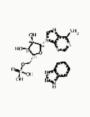 Nc1ncnc2c1ncn2[C@@H]1O[C@H](COP(=O)(O)O)[C@@H](O)[C@H]1O.c1ccc2[nH]nnc2c1